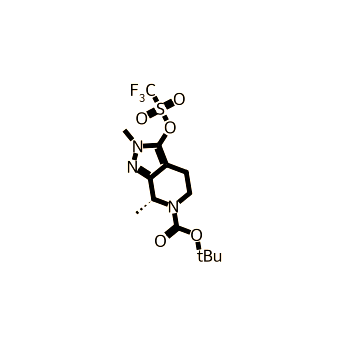 C[C@@H]1c2nn(C)c(OS(=O)(=O)C(F)(F)F)c2CCN1C(=O)OC(C)(C)C